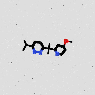 COc1ccnc(C(C)(C)c2ccc(C(C)C)nn2)c1